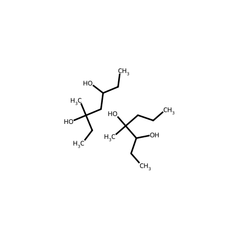 CCC(O)CC(C)(O)CC.CCCC(C)(O)C(O)CC